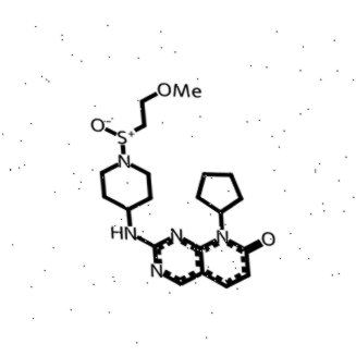 COCC[S+]([O-])N1CCC(Nc2ncc3ccc(=O)n(C4CCCC4)c3n2)CC1